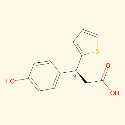 O=C(O)C[C@@H](c1ccc(O)cc1)c1cccs1